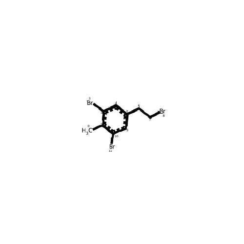 Cc1c(Br)cc(CCBr)cc1Br